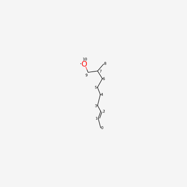 C/C=C/CCCCC(C)C[O]